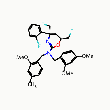 COc1ccc(CN(Cc2ccc(C)cc2OC)C2=N[C@](CF)(c3ccccc3F)C[C@@H](CF)O2)c(OC)c1